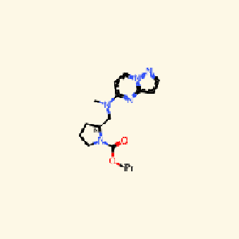 CC(C)OC(=O)N1CCC[C@H]1CN(C)c1ccn2nccc2n1